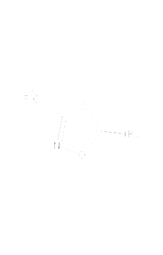 CC(C)(C)c1cc(C(F)(F)F)no1